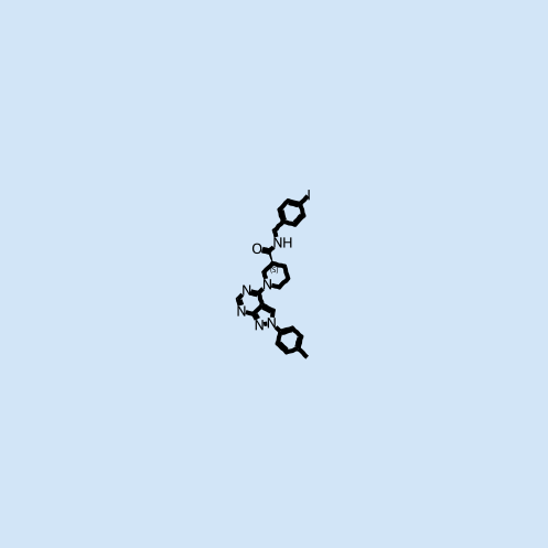 Cc1ccc(-n2cc3c(N4CCC[C@H](C(=O)NCc5ccc(I)cc5)C4)ncnc3n2)cc1